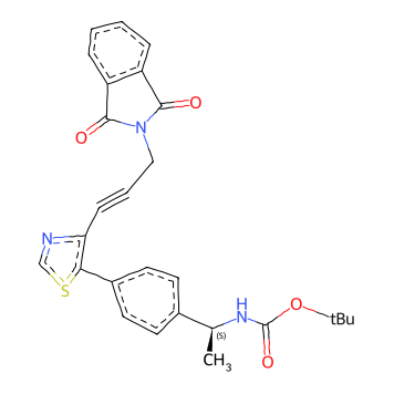 C[C@H](NC(=O)OC(C)(C)C)c1ccc(-c2scnc2C#CCN2C(=O)c3ccccc3C2=O)cc1